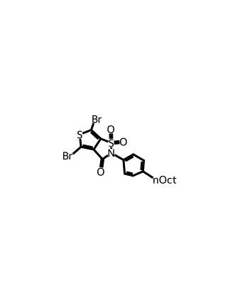 CCCCCCCCc1ccc(N2C(=O)c3c(Br)sc(Br)c3S2(=O)=O)cc1